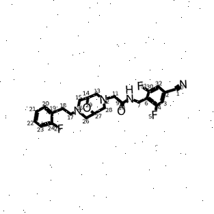 N#Cc1cc(F)c(CNC(=O)CN2CC3CN(CCc4ccccc4F)CC(C2)O3)c(F)c1